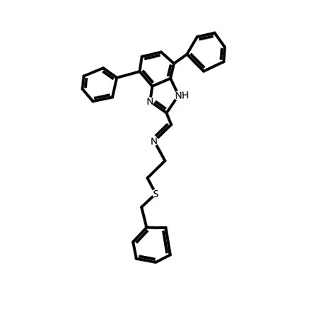 C(=N\CCSCc1ccccc1)/c1nc2c(-c3ccccc3)ccc(-c3ccccc3)c2[nH]1